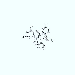 C[C@H](c1cc(F)cc(F)c1)N(C(=O)c1ccccc1)[C@H](C(N)=O)c1cscn1